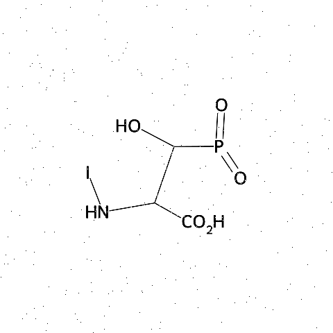 O=C(O)C(NI)C(O)P(=O)=O